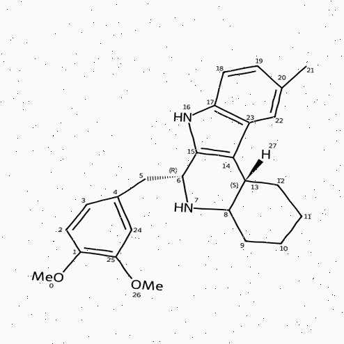 COc1ccc(C[C@H]2NC3CCCC[C@H]3c3c2[nH]c2ccc(C)cc32)cc1OC